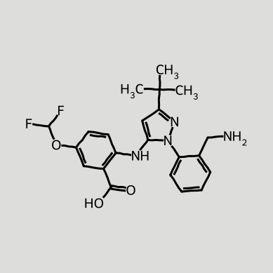 CC(C)(C)c1cc(Nc2ccc(OC(F)F)cc2C(=O)O)n(-c2ccccc2CN)n1